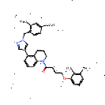 COc1cc(C(=O)O)ccc1Cn1cc(-c2cccc3c2CCCN3C(=O)CCCOc2cccc(C)c2C)cn1